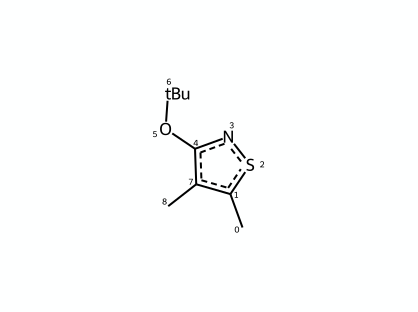 Cc1snc(OC(C)(C)C)c1C